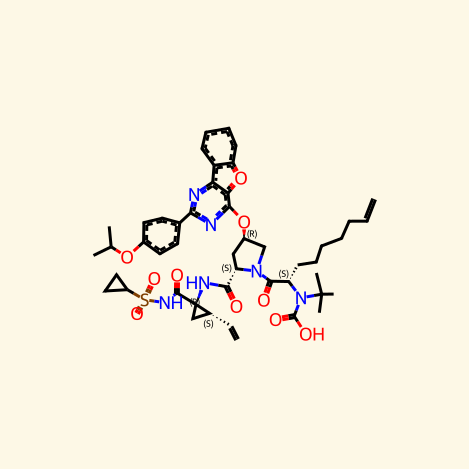 C=CCCCCC[C@@H](C(=O)N1C[C@H](Oc2nc(-c3ccc(OC(C)C)cc3)nc3c2oc2ccccc23)C[C@H]1C(=O)N[C@]1(C(=O)NS(=O)(=O)C2CC2)C[C@H]1C=C)N(C(=O)O)C(C)(C)C